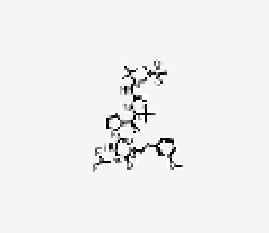 COc1cccc(CCNC(=O)[C@H](CC(F)F)NC(=O)[C@@H]2CCCN2C(=O)[C@@H](NC(=O)N[C@H](CN(C)S(C)(=O)=O)C(C)(C)C)C(C)(C)C)c1